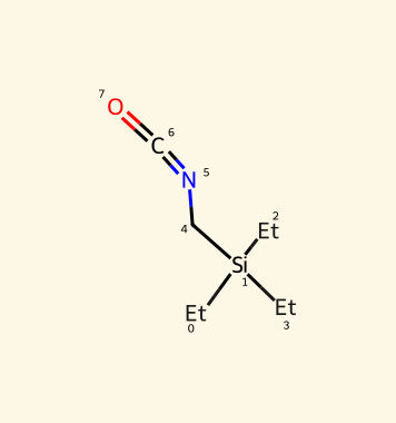 CC[Si](CC)(CC)CN=C=O